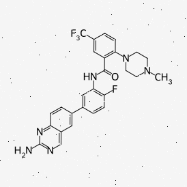 CN1CCN(c2ccc(C(F)(F)F)cc2C(=O)Nc2cc(-c3ccc4nc(N)ncc4c3)ccc2F)CC1